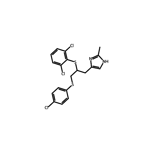 Cc1nc(CC(CSc2ccc(Cl)cc2)Sc2c(Cl)cccc2Cl)c[nH]1